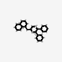 c1ccc(-c2ncc(Cc3cccc4ccccc34)nc2-c2ccccc2)cc1